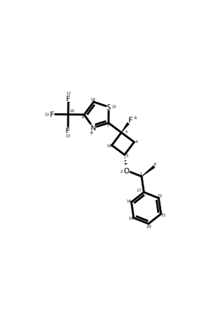 C[C@H](O[C@H]1C[C@@](F)(c2nc(C(F)(F)F)cs2)C1)c1ccccc1